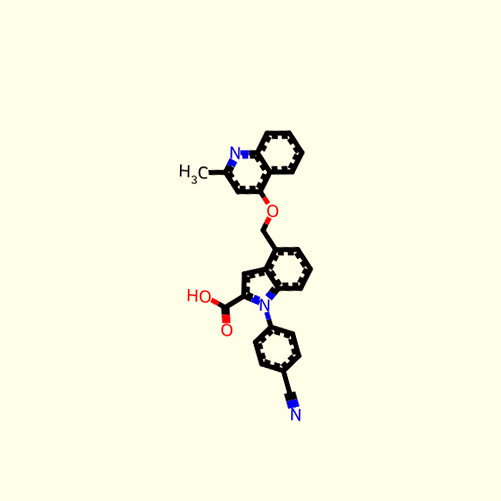 Cc1cc(OCc2cccc3c2cc(C(=O)O)n3-c2ccc(C#N)cc2)c2ccccc2n1